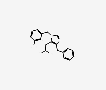 Nc1cccc(Cn2cnc(Cc3ccccc3)c2CC(N)O)c1